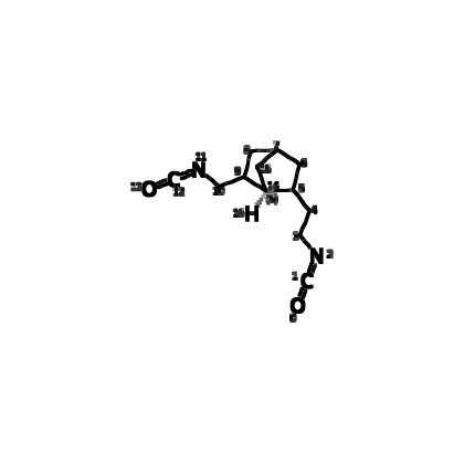 O=C=NCCC1CC2CC(CN=C=O)[C@H]1C2